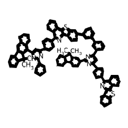 CC1(C)c2ccccc2-c2ccc(-c3nc(-c4ccc(-c5nc6c7ccccc7sc6c6ccccc56)cc4)cc(-c4cccc(-c5cccc(-c6ccc7c(c6)sc6c8ccccc8c(-c8ccc(-c9cc(-c%10c%11c(cc%12ccccc%10%12)-c%10ccccc%10C%11(C)C)nc(-c%10ccccc%10)n9)cc8)nc76)c5)c4)n3)cc21